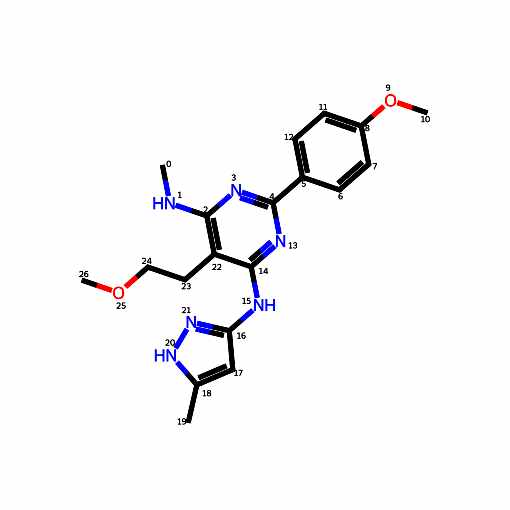 CNc1nc(-c2ccc(OC)cc2)nc(Nc2cc(C)[nH]n2)c1CCOC